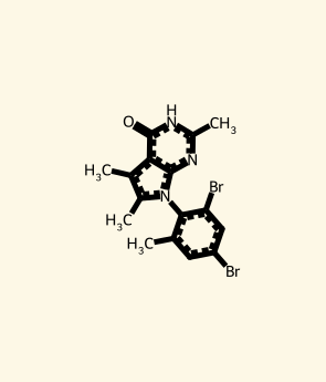 Cc1nc2c(c(C)c(C)n2-c2c(C)cc(Br)cc2Br)c(=O)[nH]1